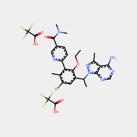 CCOc1c(C(C)n2nc(C)c3c(N)ncnc32)cc(Cl)c(C)c1-c1ccc(C(=O)N(C)C)cn1.O=C(O)C(F)(F)F.O=C(O)C(F)(F)F